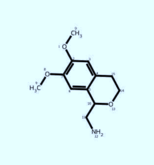 COc1cc2c(cc1OC)C(CN)OCC2